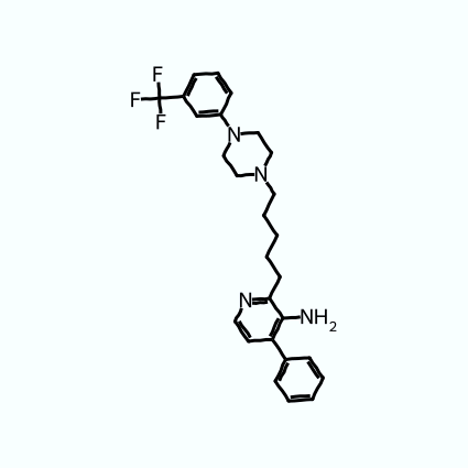 Nc1c(-c2ccccc2)ccnc1CCCCCN1CCN(c2cccc(C(F)(F)F)c2)CC1